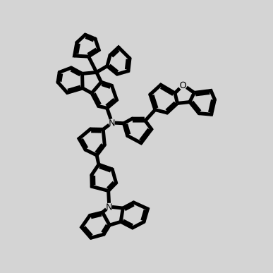 c1ccc(C2(c3ccccc3)c3ccccc3-c3cc(N(c4cccc(-c5ccc(-n6c7ccccc7c7ccccc76)cc5)c4)c4cccc(-c5ccc6oc7ccccc7c6c5)c4)ccc32)cc1